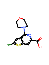 O=C(O)c1cc2sc(Cl)cc2c(N2CCOCC2)n1